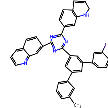 Cc1cccc(-c2cc(-c3cccc(I)c3)cc(-c3nc(-c4ccc5c(c4)NCC=C5)nc(-c4ccc5cccnc5c4)n3)c2)c1